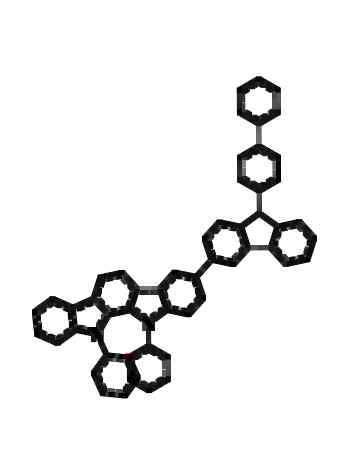 c1ccc(-c2ccc(C3c4ccccc4-c4cc(-c5ccc6c(c5)c5ccc7c8ccccc8n(-c8ccccc8)c7c5n6-c5ccccc5)ccc43)cc2)cc1